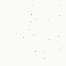 CCOC(=O)c1nccc2c1CN(C(C)C1(C=N)CC(Cl)=C1OCC1CC1)C2=O